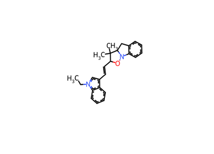 CCn1cc(C=CC2ON3c4ccccc4CC3C2(C)C)c2ccccc21